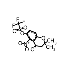 CC1(C)CC(=O)c2c(ccc(OS(=O)(=O)C(F)(F)F)c2[N+](=O)[O-])O1